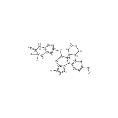 COc1ccc(C(NC(=O)Cc2ccc3c(c2)OC(C)(C)C(=O)N3)c2ccc(C)o2)c(N2CCOCC2)c1